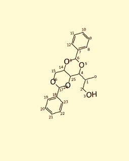 CC(CO)C1OC(c2ccccc2)OC2COC(c3ccccc3)OC21